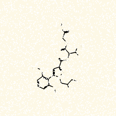 CCC(C)Cn1nc(C(=O)NC(C(=O)NCC(=O)OC)C(C)C)cc1-c1c(OC)cccc1OC